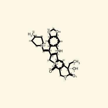 CC[C@@]1(O)C(=O)OCc2c1cc1n(c2=O)CC2=C1Nc1cc3c(cc1/C2=C\N1CCC(C)CC1)OCO3